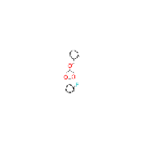 Fc1ccccc1C1OCC(OCc2ccccc2)CO1